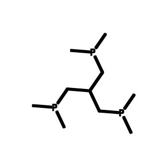 CP(C)CC(CP(C)C)CP(C)C